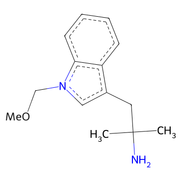 COCn1cc(CC(C)(C)N)c2ccccc21